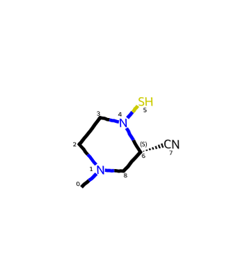 CN1CCN(S)[C@H](C#N)C1